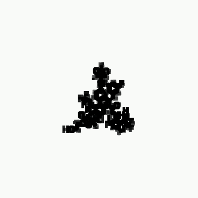 C[C@H]1CC(F)(F)C(NCC(=O)N[C@@H](Cc2cc(F)cc(F)c2)c2nc(C#CC(C)(C)S(C)(=O)=O)ccc2-c2ccc(Cl)c3c(N(C(=O)OCCO)S(C)(=O)=O)nn(CC(F)(F)F)c23)=C1C(=N)C(F)(F)F